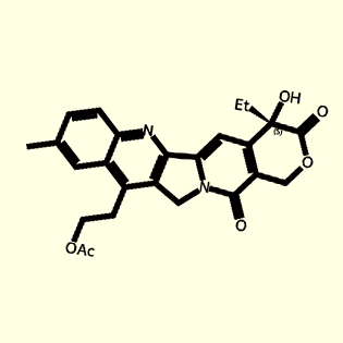 CC[C@@]1(O)C(=O)OCc2c1cc1n(c2=O)Cc2c-1nc1ccc(C)cc1c2CCOC(C)=O